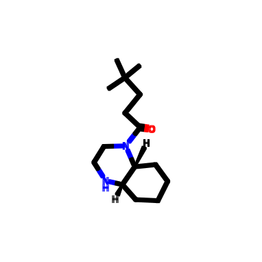 CC(C)(C)CCC(=O)N1CCN[C@H]2CCCC[C@H]21